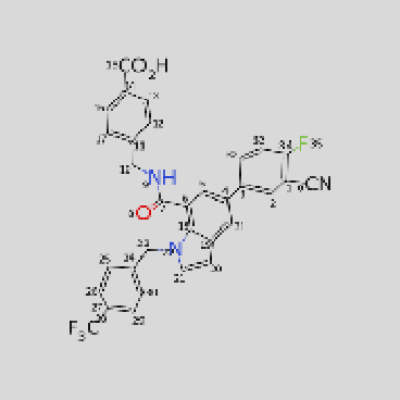 N#Cc1cc(-c2cc(C(=O)NCc3ccc(C(=O)O)cc3)c3c(ccn3Cc3ccc(C(F)(F)F)cc3)c2)ccc1F